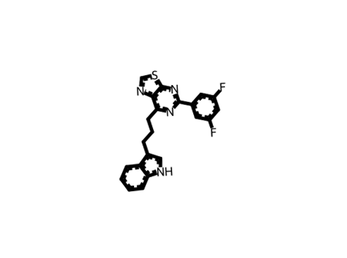 Fc1cc(F)cc(-c2nc(CCCc3c[nH]c4ccccc34)c3ncsc3n2)c1